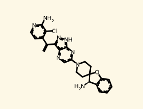 C=C(c1ccnc(N)c1Cl)c1n[nH]c2nc(N3CCC4(CC3)Oc3ccccc3[C@H]4N)cnc12